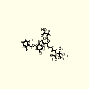 Cc1nc2c(OCc3c(F)cccc3F)cc(Cl)cn2c1C(=O)NCCCN(C(=O)O)C(C)(C)C.O=C(O)C(F)(F)F